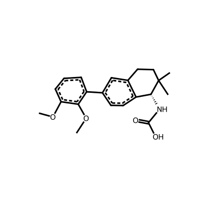 COc1cccc(-c2ccc3c(c2)CCC(C)(C)[C@@H]3NC(=O)O)c1OC